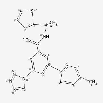 Cc1ccc(-c2cc(C(=O)NC(C)c3cccs3)cc(-n3cnnn3)c2)cc1